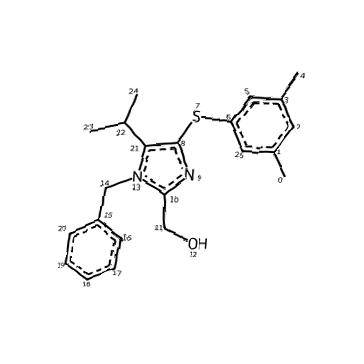 Cc1cc(C)cc(Sc2nc(CO)n(Cc3ccccc3)c2C(C)C)c1